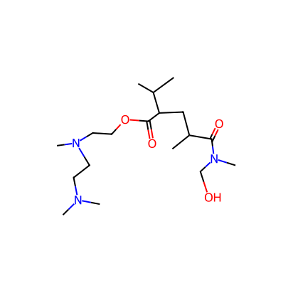 CC(CC(C(=O)OCCN(C)CCN(C)C)C(C)C)C(=O)N(C)CO